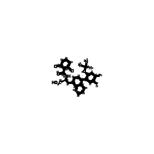 [2H]C([2H])([2H])Oc1cc(F)c(F)cc1-c1ccc(C[C@H](NC(=O)c2c(Cl)cccc2Cl)C(=O)O)c2ncccc12